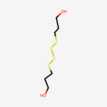 OCCCSSSSCCCO